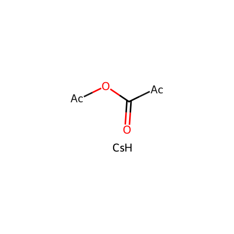 CC(=O)OC(=O)C(C)=O.[CsH]